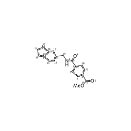 COC(=O)c1ccc(C(=O)NCc2ccn3ccnc3c2)cc1